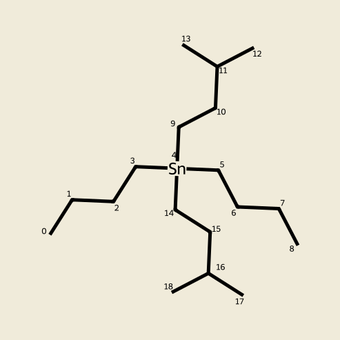 CCC[CH2][Sn]([CH2]CCC)([CH2]CC(C)C)[CH2]CC(C)C